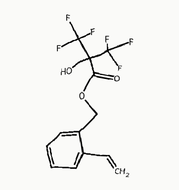 C=Cc1ccccc1COC(=O)C(O)(C(F)(F)F)C(F)(F)F